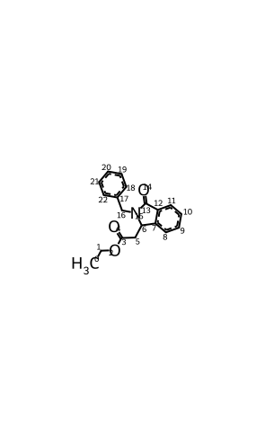 CCOC(=O)CC1c2ccccc2C(=O)N1Cc1ccccc1